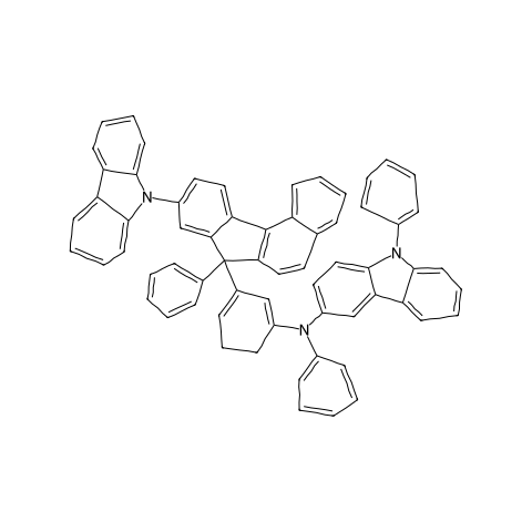 C1=C(N(c2ccccc2)c2ccc3c(c2)c2ccccc2n3-c2ccccc2)CCC=C1C1(c2ccccc2)c2cc(-n3c4ccccc4c4ccccc43)ccc2-c2c1ccc1ccccc21